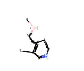 CBCc1ccncc1C